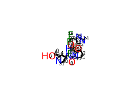 C[C@H](O)c1cc(NC(=O)N2CCCCC2[C@@](C)(F)S(=O)(=O)c2cn(C)nc2C(F)F)ccn1